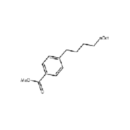 CCCCCCCCCCCCc1ccc(C(=O)OC)cc1